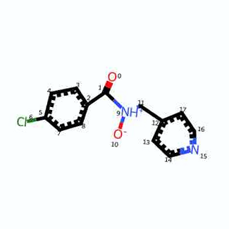 O=C(c1ccc(Cl)cc1)[NH+]([O-])Cc1ccncc1